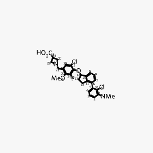 CNc1cccc(-c2cccc3c2CCC3Oc2c(Cl)cc(CN3CC(C(=O)O)C3)c(OC)c2F)c1Cl